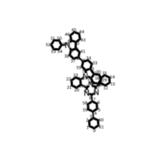 c1ccc(-c2ccc(-c3nc(-c4ccccc4)nc(-c4ccccc4-n4c5ccccc5c5ccc(-c6ccc7c(c6)c6ccccc6n7-c6ccccc6)cc54)n3)cc2)cc1